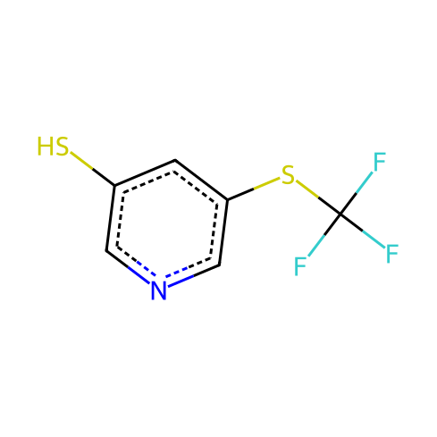 FC(F)(F)Sc1cncc(S)c1